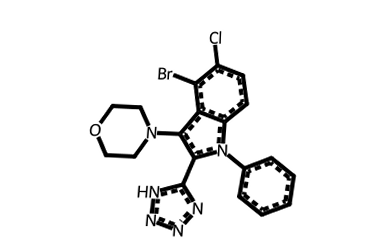 Clc1ccc2c(c1Br)c(N1CCOCC1)c(-c1nnn[nH]1)n2-c1ccccc1